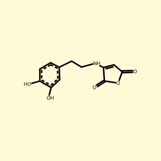 O=C1C=C(NCCc2ccc(O)c(O)c2)C(=O)O1